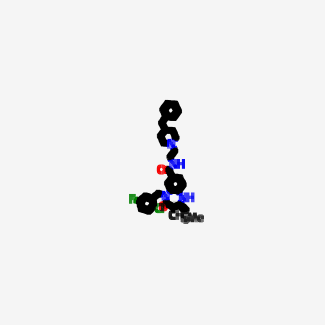 CS/C=C1/Nc2ccc(C(=O)NCCN3CCC(Cc4ccccc4)CC3)cc2N(Cc2cc(F)ccc2Cl)C(=O)[C@@H]1C